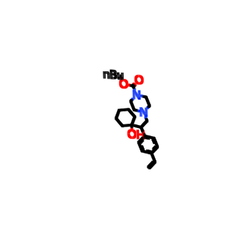 C=Cc1ccc(C(CN2CCN(C(=O)OCCCC)CC2)C2(O)CCCCC2)cc1